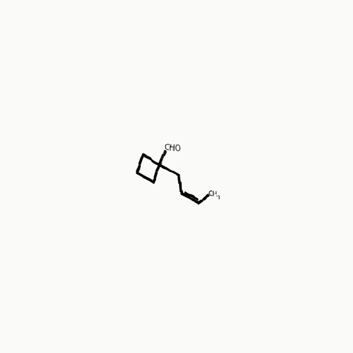 C/C=C\CC1(C=O)CCC1